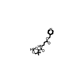 CC1(C)COPO[C@H]1C(=O)NCCC(=O)OCc1ccncc1